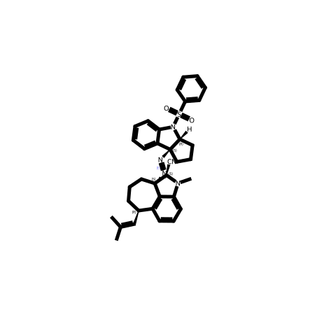 CC(C)=C[C@H]1CCC[C@]2(/N=N/[C@]34CCC[C@H]3N(S(=O)(=O)c3ccccc3)c3ccccc34)c3c1cccc3N(C)[C@@H]2C#N